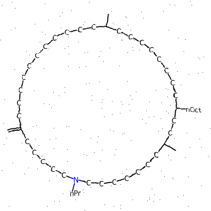 C=C1CCCCCCCCCCCC(C)CCCCCCCCC(CCCCCCCC)CCC(C)CCCCCCCN(CCC)CCCCC1